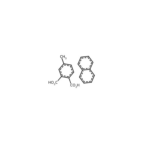 Cc1ccc(C(=O)O)c(C(=O)O)c1.c1ccc2ccccc2c1